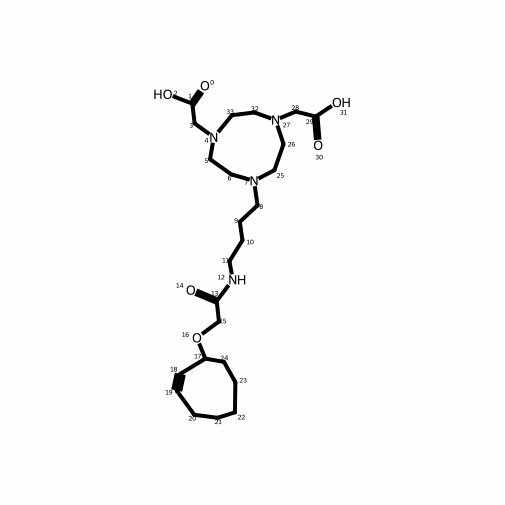 O=C(O)CN1CCN(CCCCNC(=O)COC2C#CCCCCC2)CCN(CC(=O)O)CC1